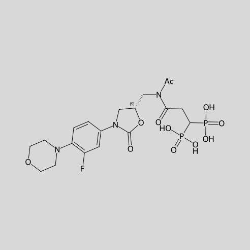 CC(=O)N(C[C@H]1CN(c2ccc(N3CCOCC3)c(F)c2)C(=O)O1)C(=O)CC(P(=O)(O)O)P(=O)(O)O